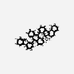 CC1(C)c2ccc3ccccc3c2-c2cccc(-c3c4ccccc4c(-c4cccc5c4sc4ccccc45)c4ccccc34)c21